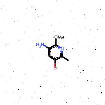 COc1nc(C)c(Br)cc1N